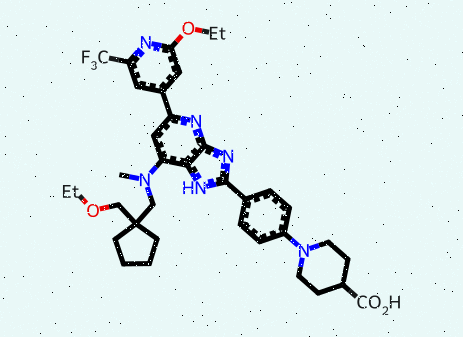 CCOCC1(CN(C)c2cc(-c3cc(OCC)nc(C(F)(F)F)c3)nc3nc(-c4ccc(N5CCC(C(=O)O)CC5)cc4)[nH]c23)CCCC1